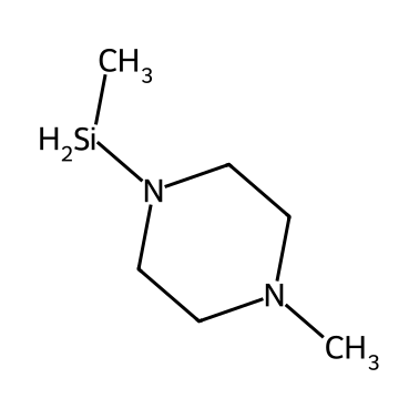 C[SiH2]N1CCN(C)CC1